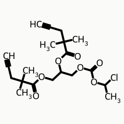 C#CCC(C)(C)C(=O)OCC(COC(=O)OC(C)Cl)OC(=O)C(C)(C)CC#C